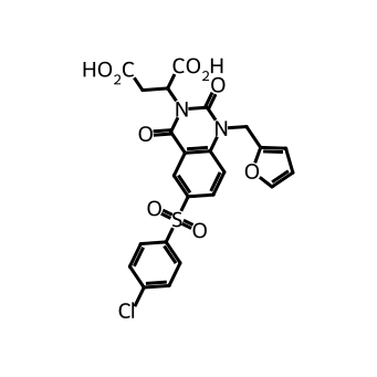 O=C(O)CC(C(=O)O)n1c(=O)c2cc(S(=O)(=O)c3ccc(Cl)cc3)ccc2n(Cc2ccco2)c1=O